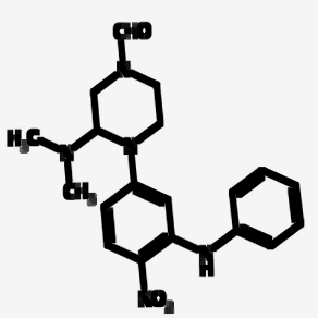 CN(C)C1CN(C=O)CCN1c1ccc([N+](=O)[O-])c(Nc2ccccc2)c1